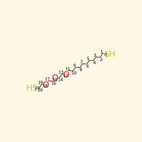 SCCCCCCCCCCCOCCOCCOCCS